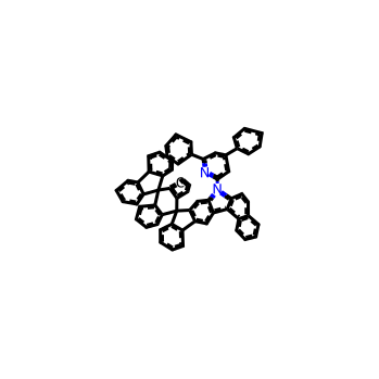 c1ccc(-c2cc(-c3ccccc3)nc(-n3c4cc5c(cc4c4c6ccccc6ccc43)-c3ccccc3C53c4ccccc4C4(c5ccccc5-c5ccccc54)c4ccccc43)c2)cc1